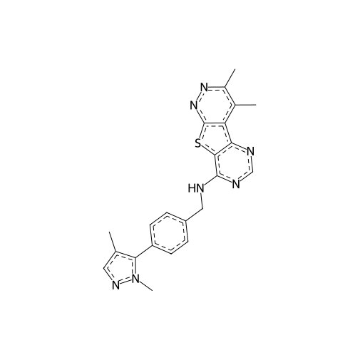 Cc1cnn(C)c1-c1ccc(CNc2ncnc3c2sc2nnc(C)c(C)c23)cc1